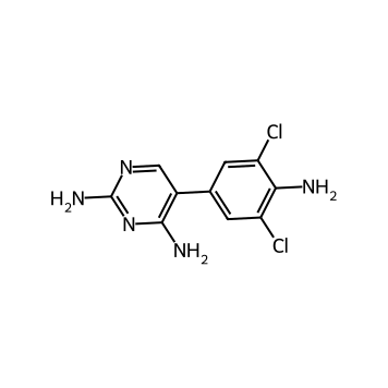 Nc1ncc(-c2cc(Cl)c(N)c(Cl)c2)c(N)n1